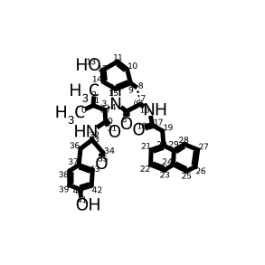 CC(C)[C@H](NC(=O)[C@H](Cc1ccc(O)cc1)NC(=O)Cc1cccc2ccccc12)C(=O)NC(C=O)Cc1ccc(O)cc1